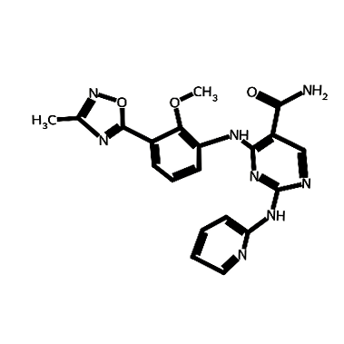 COc1c(Nc2nc(Nc3ccccn3)ncc2C(N)=O)cccc1-c1nc(C)no1